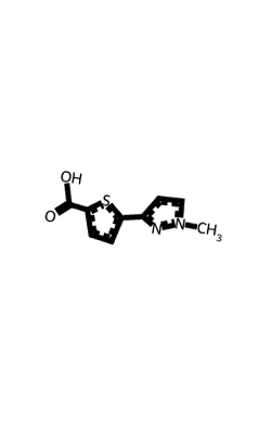 Cn1ccc(-c2ccc(C(=O)O)s2)n1